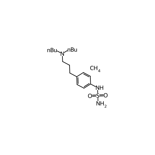 C.CCCCN(CCCC)CCCc1ccc(NS(N)(=O)=O)cc1